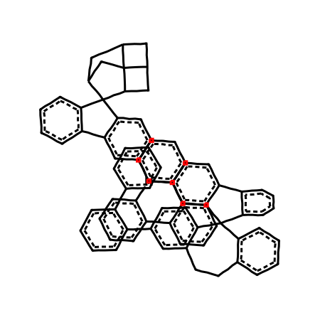 c1ccc(-c2ccccc2-c2ccc3c(c2)CCc2ccccc2C32c3ccccc3-c3ccc(N(c4ccc5c(c4)-c4ccccc4C54C5CC6CC7CC4C67C5)c4ccccc4-c4ccccc4-c4ccccc4)cc32)cc1